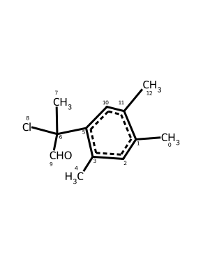 Cc1cc(C)c(C(C)(Cl)C=O)cc1C